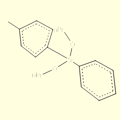 CCCO[Si](OCCC)(c1ccccc1)c1ccc(C)cc1